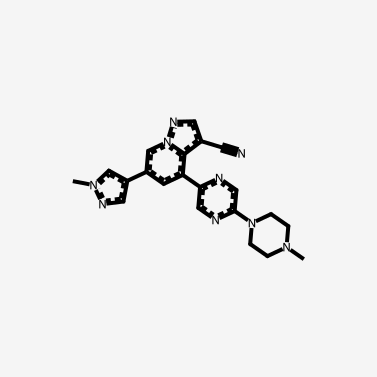 CN1CCN(c2cnc(-c3cc(-c4cnn(C)c4)cn4ncc(C#N)c34)cn2)CC1